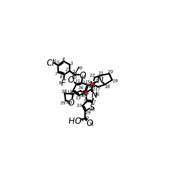 C[C@]1(C2CC=C(Cl)C=C2F)Oc2cccc(N3CC4CCC(C3)N4Cc3nc4sc(C(=O)O)cc4n3C[C@@H]3CCO3)c2O1